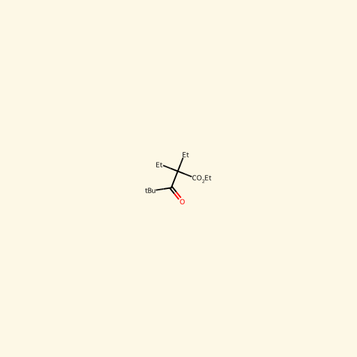 CCOC(=O)C(CC)(CC)C(=O)C(C)(C)C